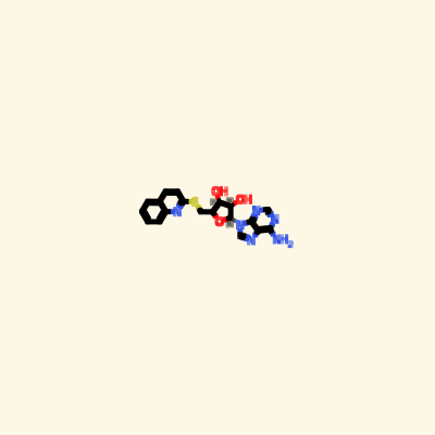 Nc1ncnc2c1ncn2[C@@H]1OC(CSc2ccc3ccccc3n2)[C@@H](O)[C@H]1O